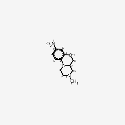 CN1CCN2c3ccc([N+](=O)[O-])cc3OCC2C1